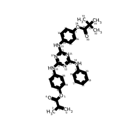 C=C(C)C(=O)Oc1ccc(Nc2nc(Nc3ccccc3)nc(Nc3ccc(OC(=O)C(C)(C)C)cc3)n2)cc1